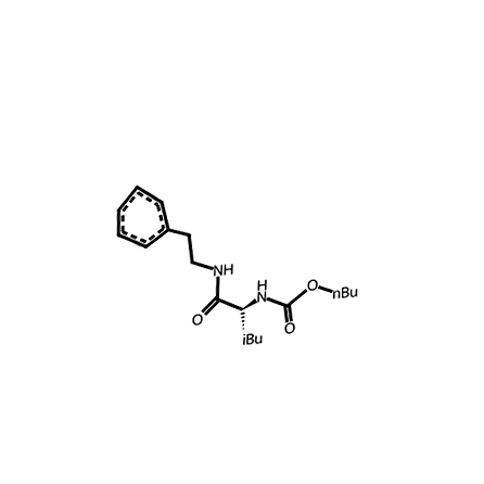 CCCCOC(=O)N[C@H](C(=O)NCCc1ccccc1)[C@@H](C)CC